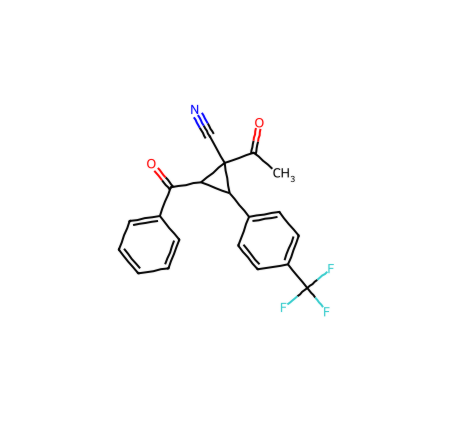 CC(=O)C1(C#N)C(C(=O)c2ccccc2)C1c1ccc(C(F)(F)F)cc1